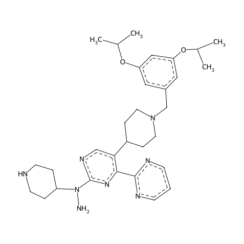 CC(C)Oc1cc(CN2CCC(c3cnc(N(N)C4CCNCC4)nc3-c3ncccn3)CC2)cc(OC(C)C)c1